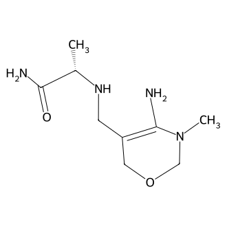 C[C@H](NCC1=C(N)N(C)COC1)C(N)=O